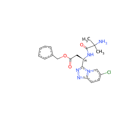 CC(C)(N)C(=O)N[C@H](CC(=O)OCc1ccccc1)c1nnc2ccc(Cl)cn12